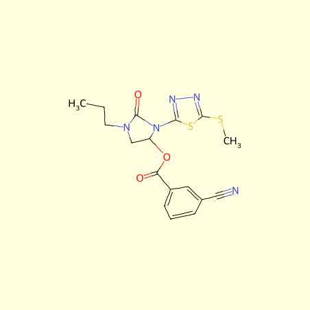 CCCN1CC(OC(=O)c2cccc(C#N)c2)N(c2nnc(SC)s2)C1=O